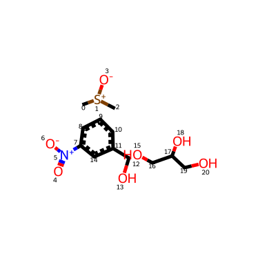 C[S+](C)[O-].O=[N+]([O-])c1cccc(CO)c1.OCC(O)CO